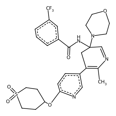 CC1=C(c2ccc(OC3CCS(=O)(=O)CC3)nc2)CC(NC(=O)c2cccc(C(F)(F)F)c2)(N2CCOCC2)C=N1